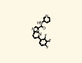 O=C(Nc1cccnc1)c1cnc2ccc(-c3ccc(F)c(F)c3F)nn12